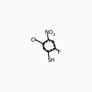 O=[N+]([O-])c1cc(F)c(S)cc1Cl